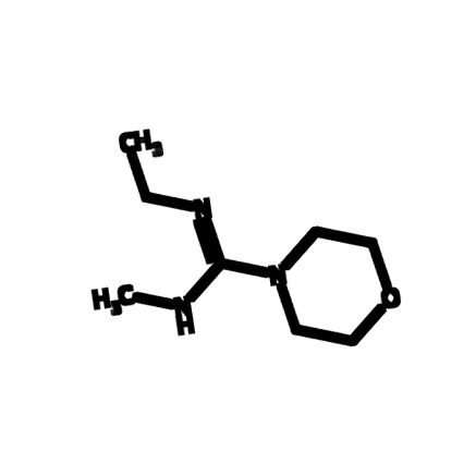 CC/N=C(\NC)N1CCOCC1